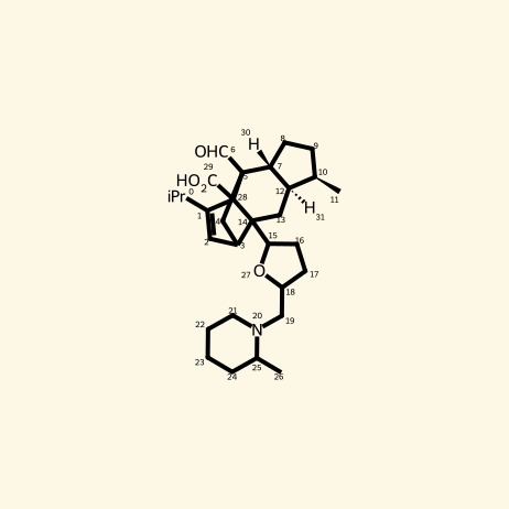 CC(C)C1=CC2CC3(C=O)[C@@H]4CC[C@@H](C)[C@H]4CC2(C2CCC(CN4CCCCC4C)O2)C13C(=O)O